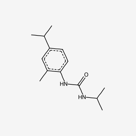 Cc1cc(C(C)C)ccc1NC(=O)NC(C)C